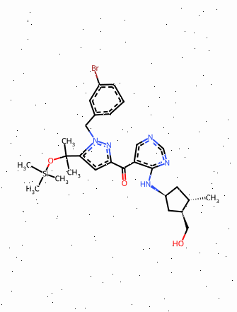 C[C@H]1C[C@H](Nc2ncncc2C(=O)c2cc(C(C)(C)O[Si](C)(C)C)n(Cc3cccc(Br)c3)n2)C[C@@H]1CO